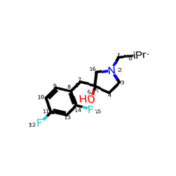 C[C](C)CN1CCC(O)(Cc2ccc(F)cc2F)C1